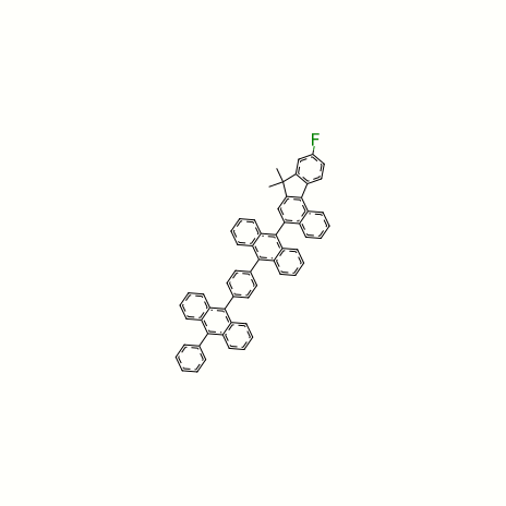 CC1(C)c2cc(F)ccc2-c2c1cc(-c1c3ccccc3c(-c3ccc(-c4c5ccccc5c(-c5ccccc5)c5ccccc45)cc3)c3ccccc13)c1ccccc21